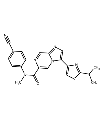 CC(C)c1nc(-c2cnc3cnc(C(=O)N(C)c4ccc(C#N)cc4)cn23)cs1